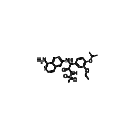 CCOc1cc(C(Nc2ccc3c(N)nccc3c2)C(=O)NS(C)(=O)=O)ccc1OC(C)C